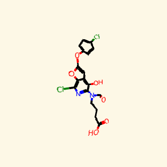 O=CN(CCCC(=O)O)c1nc(Cl)c2oc(Oc3ccc(Cl)cc3)cc2c1O